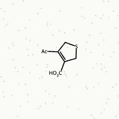 CC(=O)C1=C(C(=O)O)CSC1